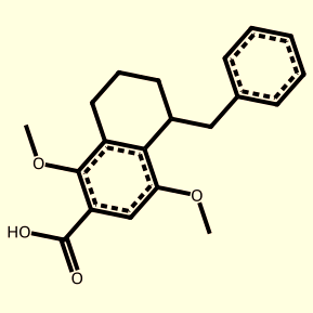 COc1cc(C(=O)O)c(OC)c2c1C(Cc1ccccc1)CCC2